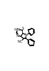 N#CC1=C(c2ccccc2)N(c2ccccc2)C2C(=S)NC=NC12